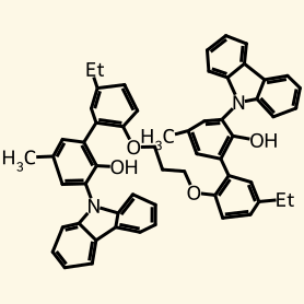 CCc1ccc(OCCCOc2ccc(CC)cc2-c2cc(C)cc(-n3c4ccccc4c4ccccc43)c2O)c(-c2cc(C)cc(-n3c4ccccc4c4ccccc43)c2O)c1